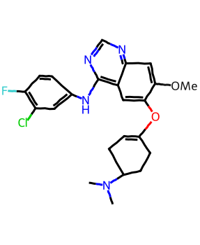 COc1cc2ncnc(Nc3ccc(F)c(Cl)c3)c2cc1OC1=CCC(N(C)C)CC1